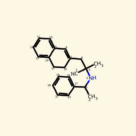 CC(NC(C)(C#N)CC1=Cc2ccccc2CC1)c1ccccc1